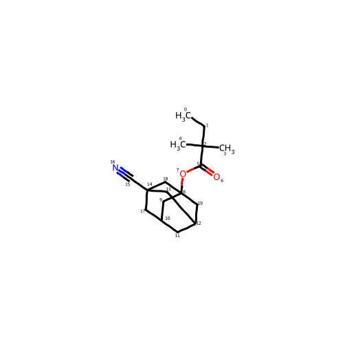 CCC(C)(C)C(=O)OC12CC3CC(CC(C#N)(C3)C1)C2